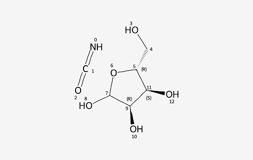 N=C=O.OC[C@H]1OC(O)[C@H](O)[C@@H]1O